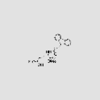 COC(=O)[C@H](CCCC(O)C(F)(F)F)NC(=O)OCC1c2ccccc2-c2ccccc21